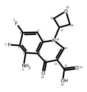 Nc1c(F)c(F)cc2c1c(=O)c(C(=O)O)cn2C1COC1